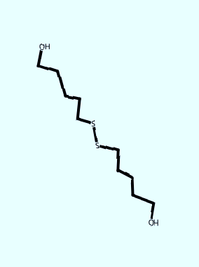 OCCCCCSSCCCCCO